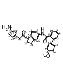 COc1ccc(-c2ccccc2C(=O)Nc2ccc3c(c2)CCN3C(=O)Cc2csc(N)n2)cc1